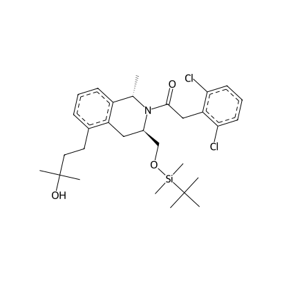 C[C@H]1c2cccc(CCC(C)(C)O)c2C[C@H](CO[Si](C)(C)C(C)(C)C)N1C(=O)Cc1c(Cl)cccc1Cl